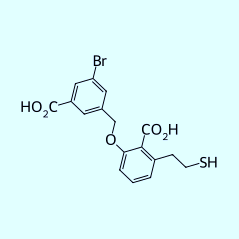 O=C(O)c1cc(Br)cc(COc2cccc(CCS)c2C(=O)O)c1